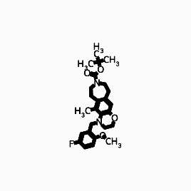 COc1ccc(F)cc1CN1CCOc2cc3c(c(C)c21)CCN(C(=O)OC(C)(C)C)CC3